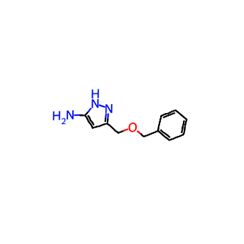 Nc1cc(COCc2ccccc2)n[nH]1